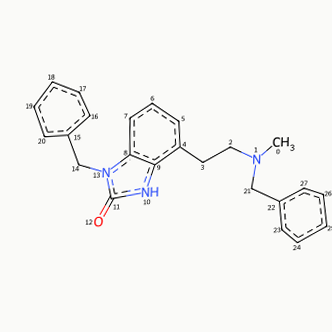 CN(CCc1cccc2c1[nH]c(=O)n2Cc1ccccc1)Cc1ccccc1